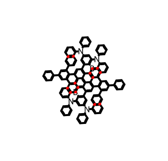 c1ccc(-c2cc(-c3ccccc3)c(-c3cc4c5c(cc6c(-c7c(-c8ccccc8)cc(-c8ccccc8)cc7-c7ccccc7)cc7c8c(cc3c5c68)B3c5ccccc5N(c5ccccc5)c5cc(N(c6ccccc6)c6ccccc6)cc-7c53)B3c5ccccc5N(c5ccccc5)c5cc(N(c6ccccc6)c6ccccc6)cc-4c53)c(-c3ccccc3)c2)cc1